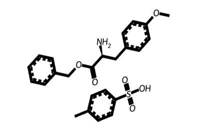 COc1ccc(C[C@H](N)C(=O)OCc2ccccc2)cc1.Cc1ccc(S(=O)(=O)O)cc1